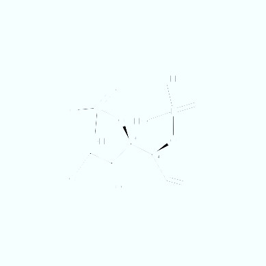 O=C[C@H](OP(=O)(O)O)[C@H](OP(=O)(O)O)[C@H](O)CO